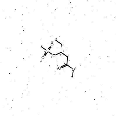 CC[C@H](CC(=O)OC)OS(C)(=O)=O